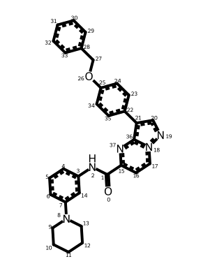 O=C(Nc1cccc(N2CCCCC2)c1)c1ccn2ncc(-c3ccc(OCc4ccccc4)cc3)c2n1